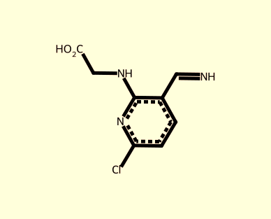 N=Cc1ccc(Cl)nc1NCC(=O)O